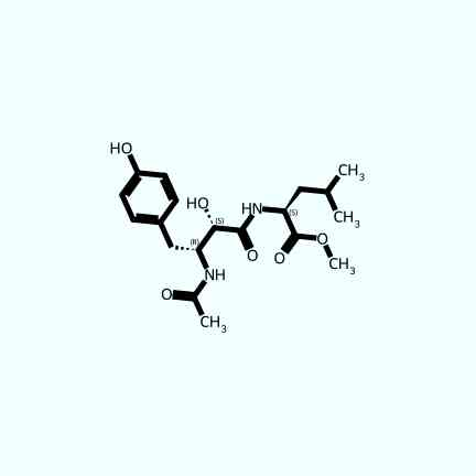 COC(=O)[C@H](CC(C)C)NC(=O)[C@@H](O)[C@@H](Cc1ccc(O)cc1)NC(C)=O